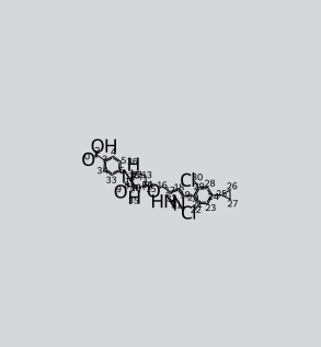 O=C(O)c1ccc(N2C(=O)[C@@H]3C[C@H]2C[C@H]3OCc2cc(-c3c(Cl)cc(C4CC4)cc3Cl)n[nH]2)cc1